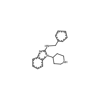 c1ccc(CNc2nc3ccccc3n2C2CCNCC2)cc1